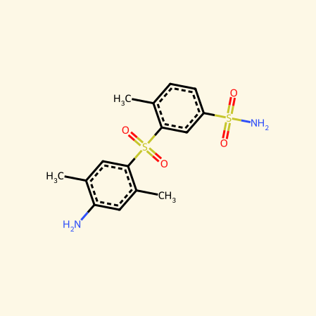 Cc1cc(S(=O)(=O)c2cc(S(N)(=O)=O)ccc2C)c(C)cc1N